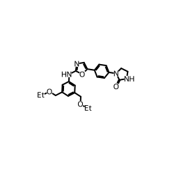 CCOCc1cc(COCC)cc(Nc2ncc(-c3ccc(N4CCNC4=O)cc3)o2)c1